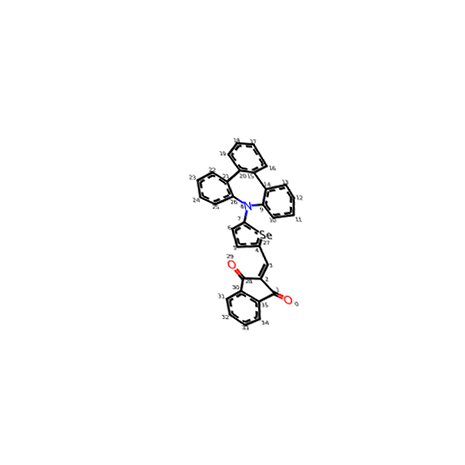 O=C1C(=Cc2ccc(N3c4ccccc4-c4ccccc4-c4ccccc43)[se]2)C(=O)c2ccccc21